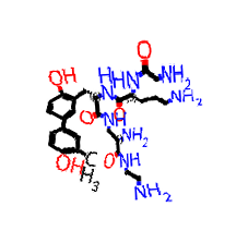 Cc1cc(-c2ccc(O)c(C[C@H](NC(=O)[C@H](CCCN)NC(=O)CN)C(=O)NC[C@H](N)C(=O)NCCN)c2)ccc1O